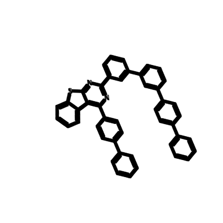 c1ccc(-c2ccc(-c3cccc(-c4cccc(-c5nc(-c6ccc(-c7ccccc7)cc6)c6c(n5)sc5ccccc56)c4)c3)cc2)cc1